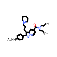 CC(=O)Nc1ccc(-c2nn3ccc(C(=O)N(CCC(C)C)CCC(C)C)cc3c2CCCN2CCCCC2)cc1